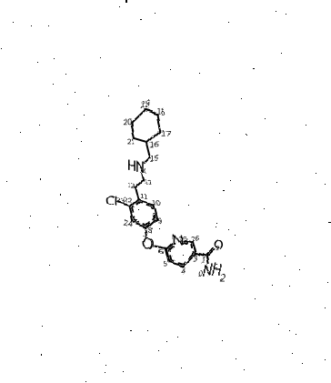 NC(=O)c1ccc(Oc2ccc(CCNCC3CCCCC3)c(Cl)c2)nc1